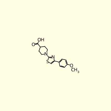 COc1ccc(-c2csc(N3CCC(C(=O)O)CC3)n2)cc1